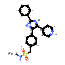 CCCC(C)NS(=O)(=O)Cc1ccc(-c2[nH]c(-c3ccccc3)nc2-c2ccncc2)cc1